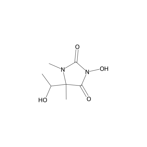 CC(O)C1(C)C(=O)N(O)C(=O)N1C